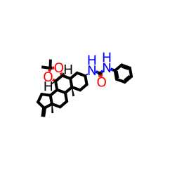 C=C1CCC2C3C(CC[C@]12C)[C@@]1(C)CC[C@@H](NC(=O)Nc2ccccc2)CC1[C@H]1OC(C)(C)O[C@H]31